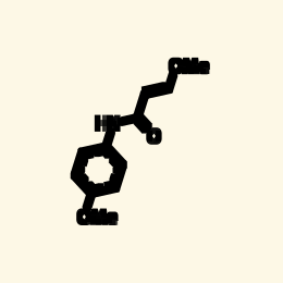 COC=CC(=O)Nc1ccc(OC)cc1